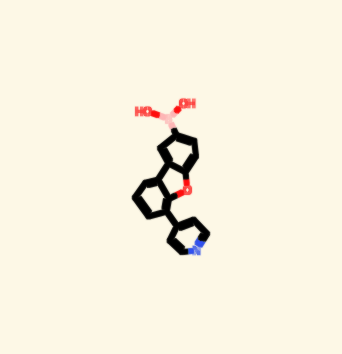 OB(O)c1ccc2oc3c(-c4ccncc4)cccc3c2c1